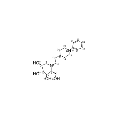 OC[C@H]1[C@@H](O)[C@H](O)[C@@H](O)CN1CCC1CCN(c2ccccc2)CC1